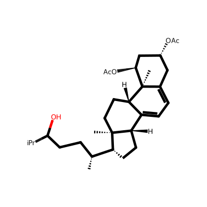 CC(=O)O[C@@H]1CC2=CC=C3[C@@H]4CC[C@H]([C@H](C)CCC(O)C(C)C)[C@@]4(C)CC[C@@H]3[C@@]2(C)[C@@H](OC(C)=O)C1